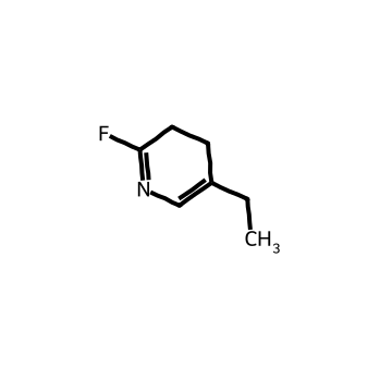 CCC1=CN=C(F)CC1